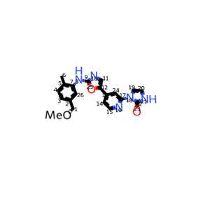 COCc1ccc(C)c(Nc2ncc(-c3ccnc(-n4cc[nH]c4=O)c3)o2)c1